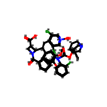 COc1ccc([C@H](Cc2c(Cl)c[n+](O)cc2Cl)C2C(C(=O)[O-])CN2C(=O)c2cccc(CN(C(=O)O[C@H]3CN4CCC3CC4)c3ccccc3F)c2)cc1OC